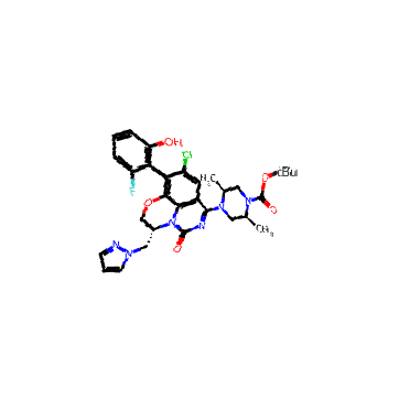 C[C@H]1CN(c2nc(=O)n3c4c(c(-c5c(O)cccc5F)c(Cl)cc24)OC[C@H]3Cn2cccn2)[C@@H](C)CN1C(=O)OC(C)(C)C